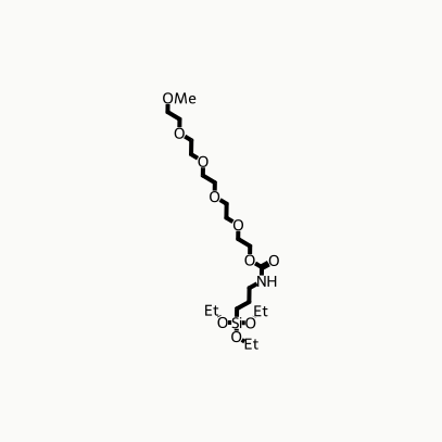 CCO[Si](CCCNC(=O)OCCOCCOCCOCCOCCOC)(OCC)OCC